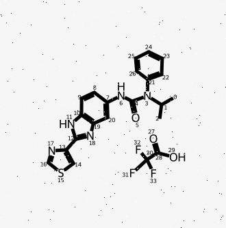 CC(C)N(C(=O)Nc1ccc2[nH]c(-c3cscn3)nc2c1)c1ccccc1.O=C(O)C(F)(F)F